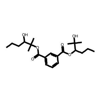 CCCC(OC(=O)c1cccc(C(=O)OC(C)(C)C(O)CCC)c1)C(C)(C)O